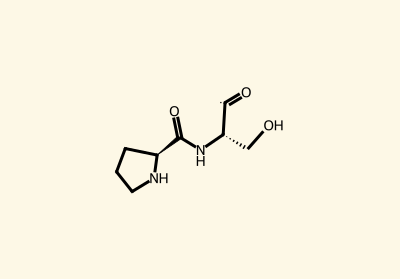 O=[C][C@H](CO)NC(=O)[C@@H]1CCCN1